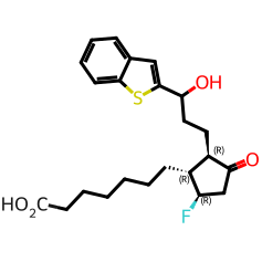 O=C(O)CCCCCC[C@H]1[C@H](F)CC(=O)[C@@H]1CCC(O)c1cc2ccccc2s1